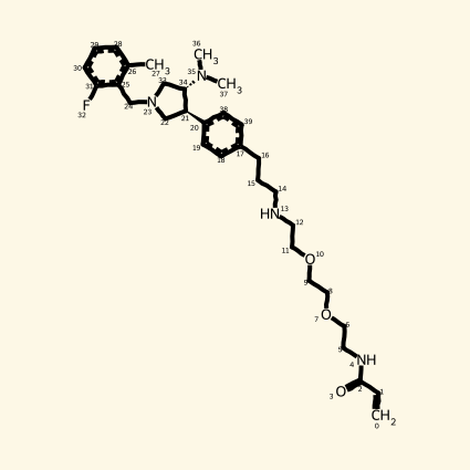 C=CC(=O)NCCOCCOCCNCCCc1ccc([C@H]2CN(Cc3c(C)cccc3F)C[C@@H]2N(C)C)cc1